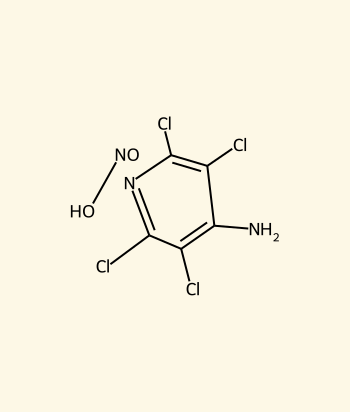 Nc1c(Cl)c(Cl)nc(Cl)c1Cl.O=NO